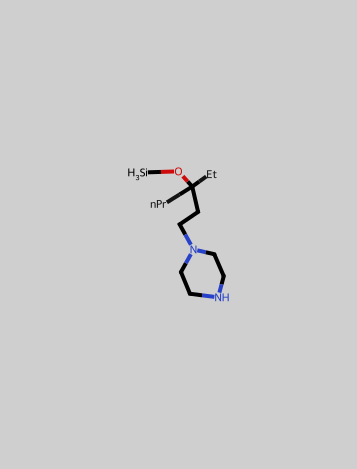 CCCC(CC)(CCN1CCNCC1)O[SiH3]